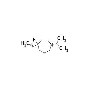 C=CC1(F)CCCN(C(C)C)CC1